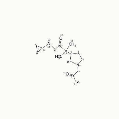 CC(C)C(=O)CN1CCC(C(C)(C)C(=O)CNC2CC2)C1